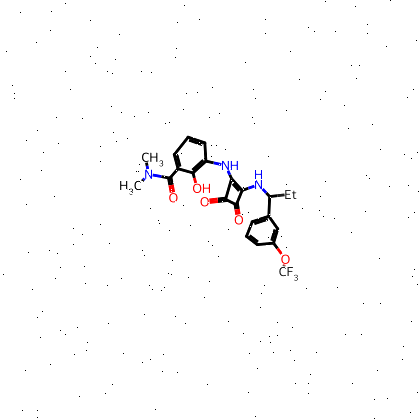 CCC(Nc1c(Nc2cccc(C(=O)N(C)C)c2O)c(=O)c1=O)c1cccc(OC(F)(F)F)c1